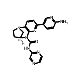 Nc1ccc(-c2ccc3c(n2)N(C(=O)Nc2cnccn2)[C@H]2CCN3C2)cn1